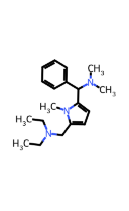 CCN(CC)Cc1ccc(C(c2ccccc2)N(C)C)n1C